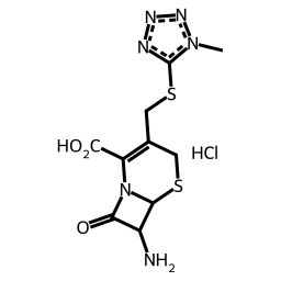 Cl.Cn1nnnc1SCC1=C(C(=O)O)N2C(=O)C(N)C2SC1